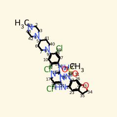 CN1CCN(C2CCN(c3cc(Cl)c(Nc4ncc(Cl)c(Nc5cc6c(cc5NS(C)(=O)=O)OCC6)n4)cc3Cl)CC2)CC1